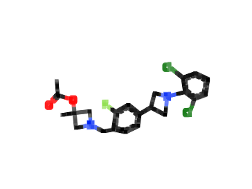 CC(=O)OC1(C)CN(Cc2ccc(C3CN(c4c(Cl)cccc4Cl)C3)cc2F)C1